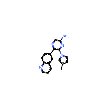 Cc1ccn(-c2nc(N)cnc2-c2ccc3ncccc3c2)c1